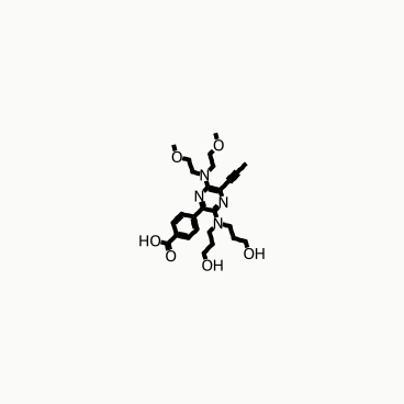 CC#Cc1nc(N(CCCO)CCCO)c(-c2ccc(C(=O)O)cc2)nc1N(CCOC)CCOC